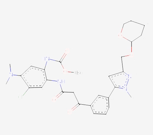 CN(C)c1cc(NC(=O)OC(C)(C)C)c(NC(=O)CC(=O)c2cccc(-c3cc(COC4CCCCO4)nn3C)c2)cc1Cl